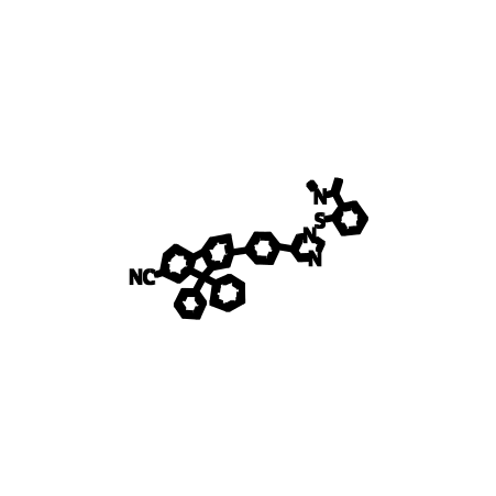 C=NC(=C)c1ccccc1SN1C=C(c2ccc(-c3ccc4c(c3)C(c3ccccc3)(c3ccccc3)c3cc(C#N)ccc3-4)cc2)C=NC1